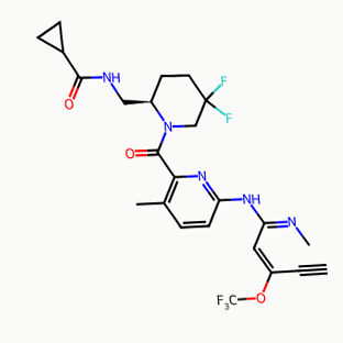 C#C/C(=C\C(=N/C)Nc1ccc(C)c(C(=O)N2CC(F)(F)CC[C@@H]2CNC(=O)C2CC2)n1)OC(F)(F)F